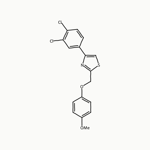 COc1ccc(OCc2nc(-c3ccc(Cl)c(Cl)c3)cs2)cc1